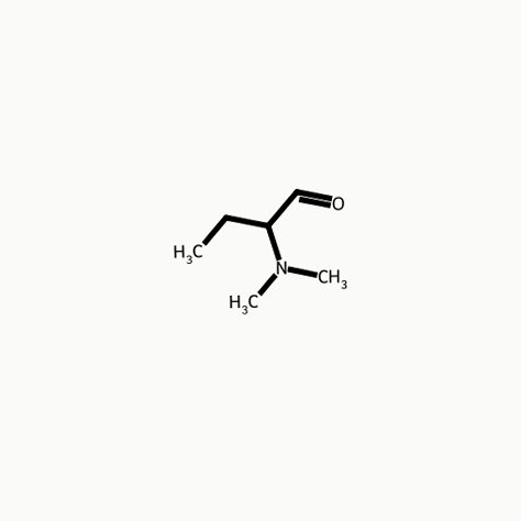 CCC(C=O)N(C)C